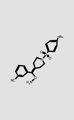 CCCCc1ccc(S(=O)(=O)N2CCC(=C(ON)c3cccc(C#N)c3)CC2)cc1